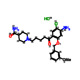 COc1cccc(COc2cc(N)c(Cl)cc2C(=O)CCCCN2CCC(C(N)=O)CC2)c1.Cl